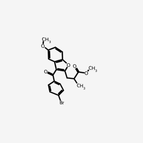 COC(=O)C(C)Cc1oc2ccc(OC)cc2c1C(=O)c1ccc(Br)cc1